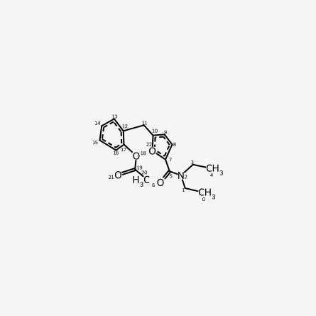 CCN(CC)C(=O)c1ccc(Cc2ccccc2OC(C)=O)o1